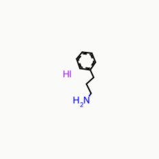 I.NCCCc1ccccc1